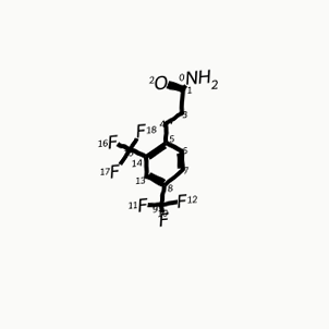 NC(=O)C[CH]c1ccc(C(F)(F)F)cc1C(F)(F)F